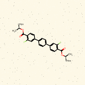 CCCCCC[C@H](C)OC(=O)c1ccc(-c2ccc(-c3ccc(C(=O)O[C@@H](C)CCCCCC)c(F)c3)cc2)cc1F